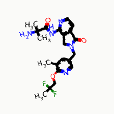 Cc1cc(CN2Cc3c(ccnc3NC(=O)C(C)(C)N)C2=O)cnc1OCC(C)(F)F